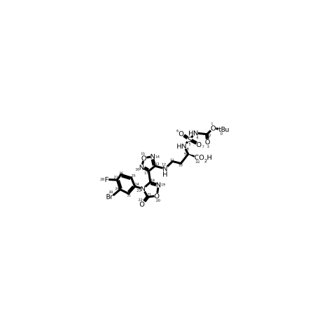 CC(C)(C)OC(=O)NS(=O)(=O)N[C@H](CCNc1nonc1-c1noc(=O)n1-c1ccc(F)c(Br)c1)C(=O)O